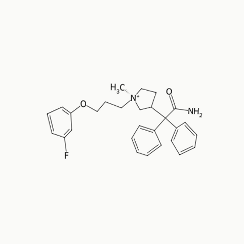 C[N@+]1(CCCOc2cccc(F)c2)CCC(C(C(N)=O)(c2ccccc2)c2ccccc2)C1